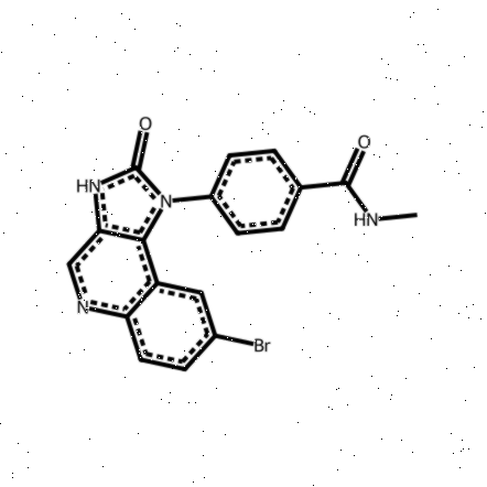 CNC(=O)c1ccc(-n2c(=O)[nH]c3cnc4ccc(Br)cc4c32)cc1